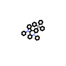 c1ccc(N2c3ccc([Si](c4ccccc4)(c4ccccc4)c4ccccc4)cc3-c3c(n(-c4ccccc4)c4ccccc34)-c3ccccc32)cc1